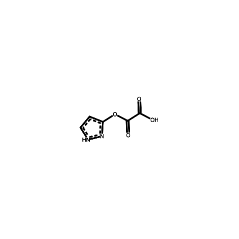 O=C(O)C(=O)Oc1cc[nH]n1